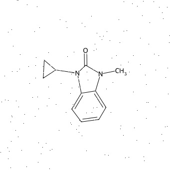 Cn1c(=O)n(C2CC2)c2ccccc21